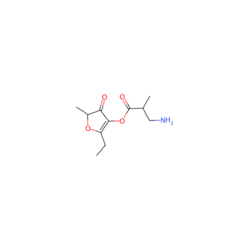 CCC1=C(OC(=O)C(C)CN)C(=O)C(C)O1